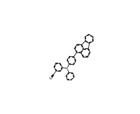 N#Cc1cccc(N(c2ccccc2)c2ccc(-c3ccc4c5c(cccc35)-c3ccccc3-4)cc2)c1